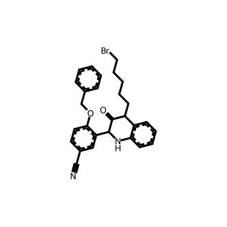 N#Cc1ccc(OCc2ccccc2)c(C2Nc3ccccc3C(CCCCCBr)C2=O)c1